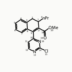 CCCC1Cc2ccccc2C(c2ccnc(Cl)n2)=C1C(=O)OC